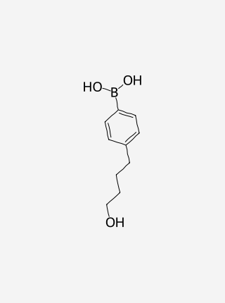 OCCCCc1ccc(B(O)O)cc1